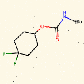 CC(C)(C)NC(=O)OC1CCC(F)(F)CC1